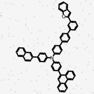 c1cc(-c2ccc(-c3ccc(N(c4ccc(-c5ccc6ccccc6c5)cc4)c4ccc(-c5cc6ccccc6c6ccccc56)cc4)cc3)cc2)cc(-c2cc3ccccc3o2)c1